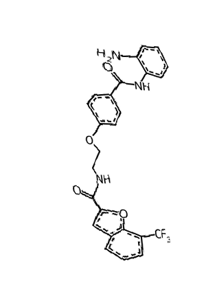 Nc1ccccc1NC(=O)c1ccc(OCCNC(=O)c2cc3cccc(C(F)(F)F)c3o2)cc1